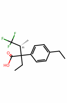 CCc1ccc(C(CC)(C(=O)O)[C@@H](C)C(F)(F)F)cc1